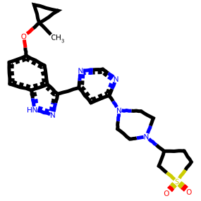 CC1(Oc2ccc3[nH]nc(-c4cc(N5CCN(C6CCS(=O)(=O)C6)CC5)ncn4)c3c2)CC1